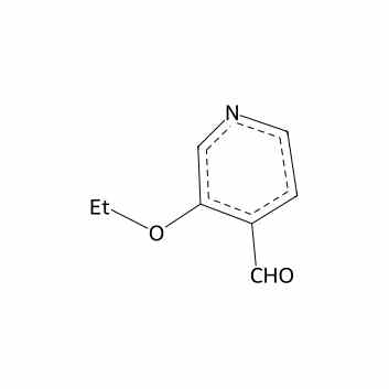 CCOc1cnccc1C=O